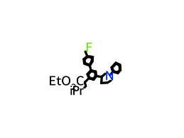 CCOC(=O)C(CC(C)C)c1cc(-c2ccc(CF)cc2)cc(C2CCCN(c3ccccc3)C2)c1